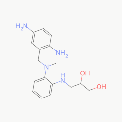 CN(Cc1cc(N)ccc1N)c1ccccc1NCC(O)CO